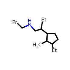 CCC1CCC(C(CC)CNCC(C)C)C1C